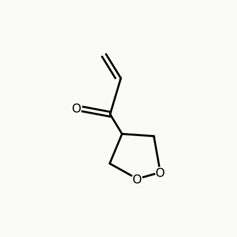 C=CC(=O)C1COOC1